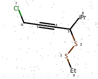 CCSSC(C#CCCl)C(C)C